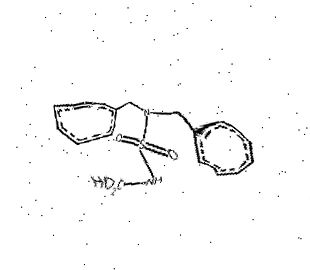 O=C(O)NS(=O)(=O)N(Cc1ccccc1)Cc1ccccc1